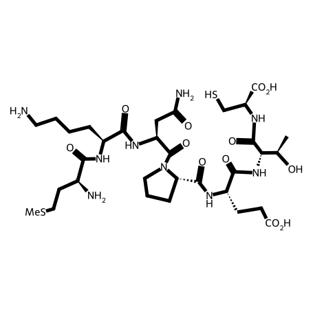 CSCC[C@H](N)C(=O)N[C@@H](CCCCN)C(=O)N[C@@H](CC(N)=O)C(=O)N1CCC[C@H]1C(=O)N[C@@H](CCC(=O)O)C(=O)N[C@H](C(=O)N[C@@H](CS)C(=O)O)[C@@H](C)O